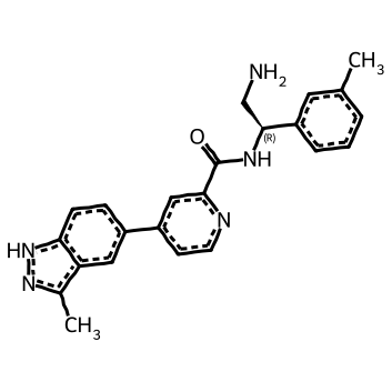 Cc1cccc([C@H](CN)NC(=O)c2cc(-c3ccc4[nH]nc(C)c4c3)ccn2)c1